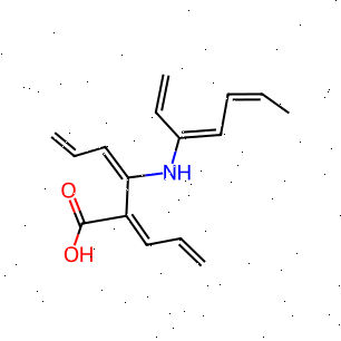 C=C/C=C(N/C(C=C)=C/C=C\C)\C(=C/C=C)C(=O)O